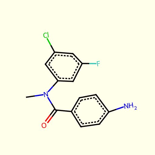 CN(C(=O)c1ccc(N)cc1)c1cc(F)cc(Cl)c1